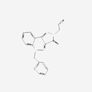 C=CCn1nc2c3ccccc3n(Cc3ccccc3)nc-2c1=O